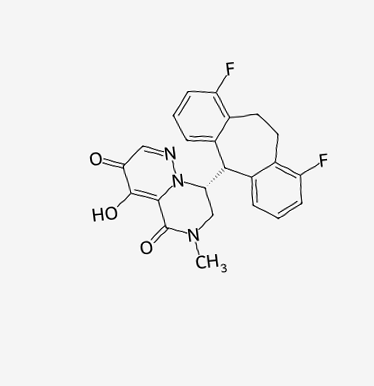 CN1C[C@@H](C2c3cccc(F)c3CCc3c(F)cccc32)n2ncc(=O)c(O)c2C1=O